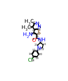 Cc1nnc2sc(C(=O)NC3CCN(c4ccc(Cl)cc4)C3)c(N)c2c1C